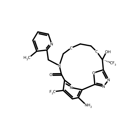 Cc1cccnc1CN1CCCCC[C@](O)(C(F)(F)F)c2nnc(o2)-c2nc(c(C(F)(F)F)cc2N)C1=O